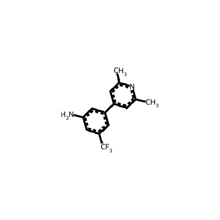 Cc1cc(-c2cc(N)cc(C(F)(F)F)c2)cc(C)n1